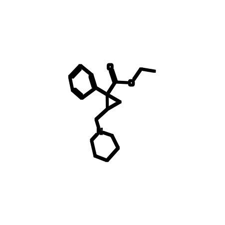 CCOC(=O)C1(c2ccccc2)CC1CN1CCCCC1